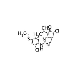 CCSc1ccc(Nc2ncc3cc(Cl)c(=O)n(C(C)C)c3n2)c(Cl)c1